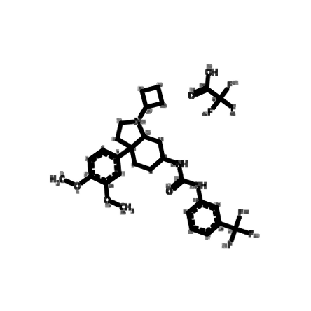 COc1ccc(C23CCC(NC(=O)Nc4cccc(C(F)(F)F)c4)CC2N(C2CCC2)CC3)cc1OC.O=C(O)C(F)(F)F